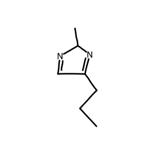 CCCC1=NC(C)N=C1